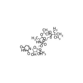 CO[C@]1(CO[P@@](=O)(N[C@@H](C)C(=O)OC(C)C)OCCSC(=O)C(C)(C)C)O[C@@H](n2ccc(=O)[nH]c2=O)[C@H](O)[C@@H]1O